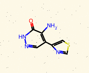 Nc1c(-c2cscn2)cn[nH]c1=O